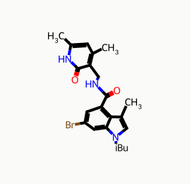 CCC(C)n1cc(C)c2c(C(=O)NCc3c(C)cc(C)[nH]c3=O)cc(Br)cc21